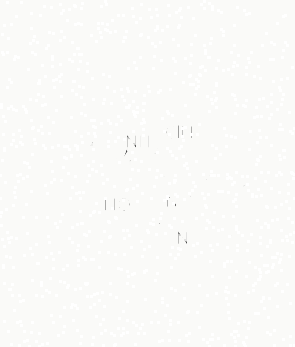 Cl.N[C@H](Cc1ccccc1)[C@@H](O)Cn1cnc2ccccc21